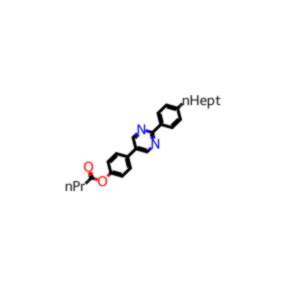 CCCCCCCc1ccc(-c2ncc(-c3ccc(OC(=O)CCC)cc3)cn2)cc1